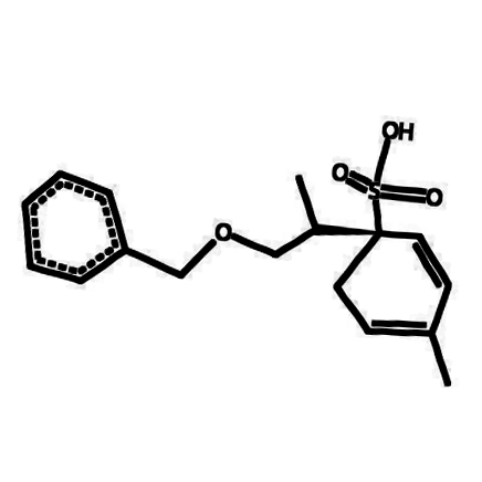 CC1=CC[C@](C(C)COCc2ccccc2)(S(=O)(=O)O)C=C1